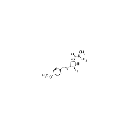 COc1ccc(CSC2C[C@@H](C(=O)N(C)C)NC2=N)cc1